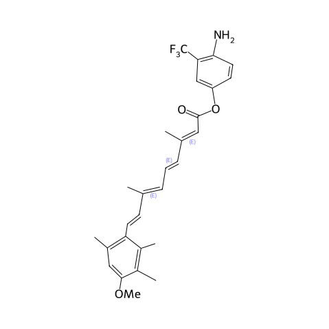 COc1cc(C)c(C=C/C(C)=C/C=C/C(C)=C/C(=O)Oc2ccc(N)c(C(F)(F)F)c2)c(C)c1C